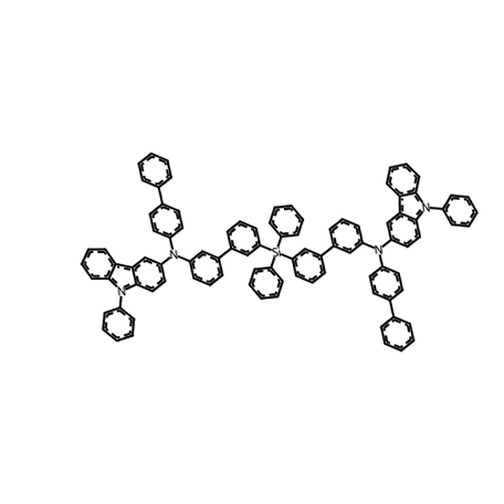 c1ccc(-c2ccc(N(c3cccc(-c4cccc([Si](c5ccccc5)(c5ccccc5)c5cccc(-c6cccc(N(c7ccc(-c8ccccc8)cc7)c7ccc8c(c7)c7ccccc7n8-c7ccccc7)c6)c5)c4)c3)c3ccc4c(c3)c3ccccc3n4-c3ccccc3)cc2)cc1